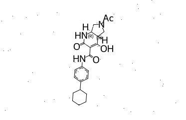 CC(=O)N1C[C@@H]2NC(=O)C(C(=O)Nc3ccc(C4CCCCC4)cc3)=C(O)[C@H]2C1